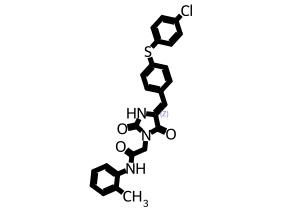 Cc1ccccc1NC(=O)CN1C(=O)N/C(=C\c2ccc(Sc3ccc(Cl)cc3)cc2)C1=O